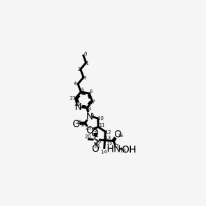 CCCCCc1ccc(N2CC(CC(C)(C(=O)NO)S(C)(=O)=O)OC2=O)nc1